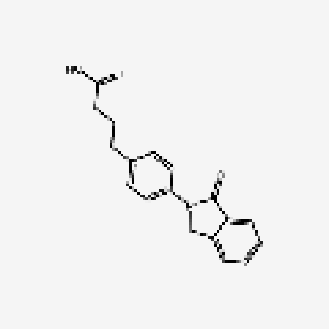 O=C(O)CCCc1ccc(N2Cc3ccccc3C2=O)cc1